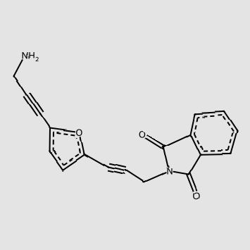 NCC#Cc1ccc(C#CCN2C(=O)c3ccccc3C2=O)o1